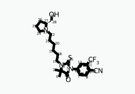 CC1(C)C(=O)N(c2ccc(C#N)c(C(F)(F)F)c2)C(=S)N1CCCCCCN1CCC[C@@H]1CO